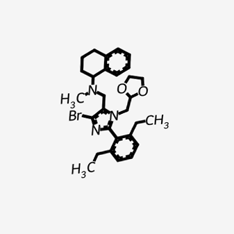 CCc1cccc(CC)c1-c1nc(Br)c(CN(C)C2CCCc3ccccc32)n1CC1OCCO1